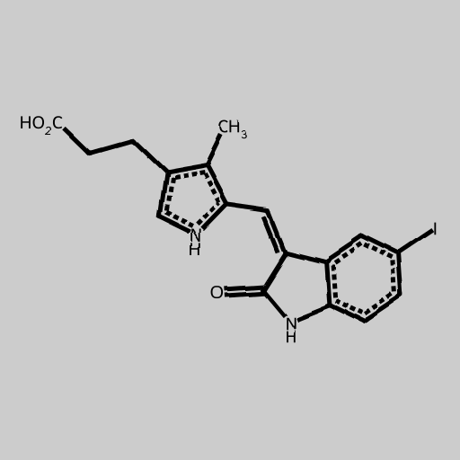 Cc1c(CCC(=O)O)c[nH]c1/C=C1\C(=O)Nc2ccc(I)cc21